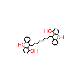 Oc1ccccc1C(CCCCCCCCC(c1ccccc1O)c1ccccc1O)c1ccccc1O